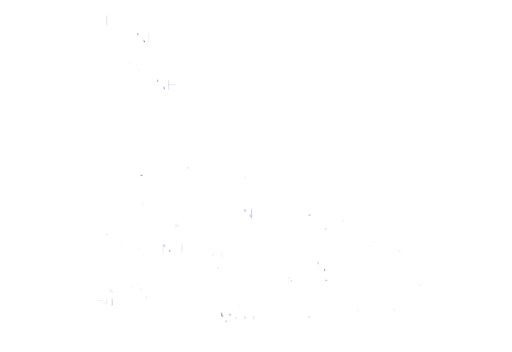 CCNC(=O)Nc1ccc(C[C@H](CC(=O)N2CCCC(c3c(C)c4ccccc4n3CCCOC)C2)NC(=O)OC(C)(C)C)cc1